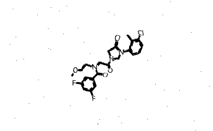 COCCN(CC(=O)N1CC(=O)N(c2cccc(Cl)c2C)C1)C(=O)c1cc(F)cc(F)c1